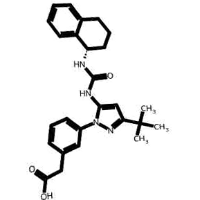 CC(C)(C)c1cc(NC(=O)N[C@H]2CCCc3ccccc32)n(-c2cccc(CC(=O)O)c2)n1